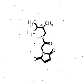 CC(C)[C@@H](C)CNC(=O)CN1C(=O)C=CC1=O